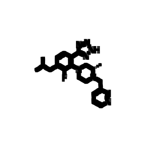 CC(C)Cc1ccc(-c2nn[nH]n2)c(N2CCN(Cc3cccnn3)[C@@H](C)C2)c1F